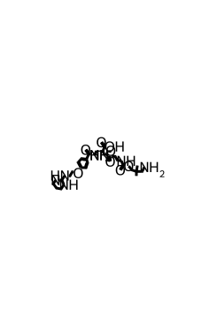 CC(C)(CN)COC(=O)NCCS(=O)(=O)N[C@@H](CNC(=O)c1ccc(OCCNC2=NCCCN2)cc1)C(=O)O